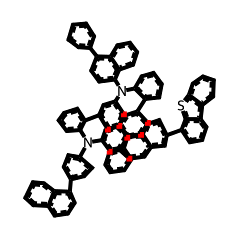 c1ccc(-c2ccc(-c3ccccc3N(c3cccc(-c4ccccc4N(c4ccc(-c5cccc6ccccc56)cc4)c4ccc5c(ccc6cc(-c7cccc8c7sc7ccccc78)ccc65)c4)c3)c3ccc(-c4ccccc4)c4ccccc34)cc2)cc1